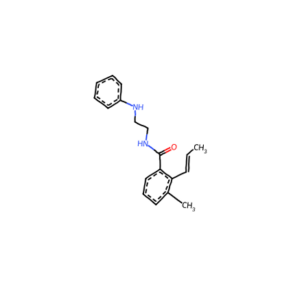 CC=Cc1c(C)cccc1C(=O)NCCNc1ccccc1